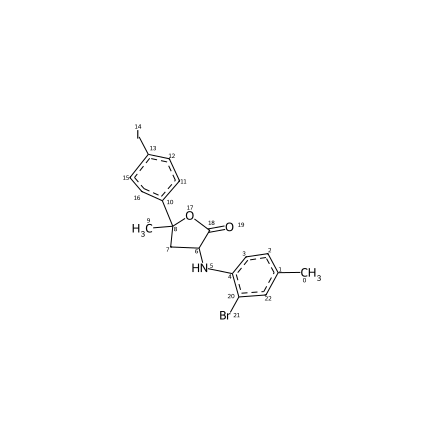 Cc1ccc(NC2CC(C)(c3ccc(I)cc3)OC2=O)c(Br)c1